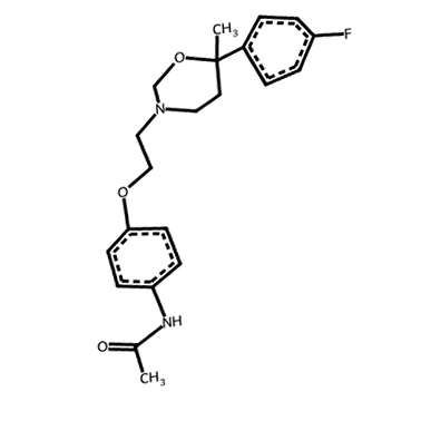 CC(=O)Nc1ccc(OCCN2CCC(C)(c3ccc(F)cc3)OC2)cc1